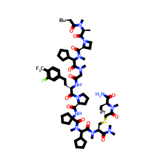 CC[C@H](C)CC(=O)N(C)[C@@H](C)C(=O)N1CC[C@H]1C(=O)N(C)C(C(=O)N(C)CC(=O)N[C@@H](CCc1ccc(C(F)(F)F)c(F)c1)C(=O)N1CCC[C@H]1C(=O)NC1(C(=O)N(C)C(C(=O)N(C)[C@@H](CSCC(=O)N(C)[C@@H](CC(C)C)C(N)=O)C(=O)N(C)C)C2CCCC2)CCCC1)C1CCCC1